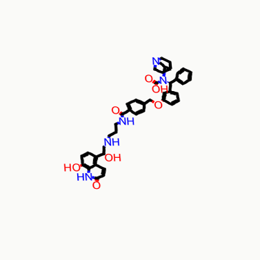 O=C(NCCCNC[C@H](O)c1ccc(O)c2[nH]c(=O)ccc12)c1ccc(COc2cccc([C@@H](c3ccccc3)N(C(=O)O)C3CN4CCC3CC4)c2)cc1